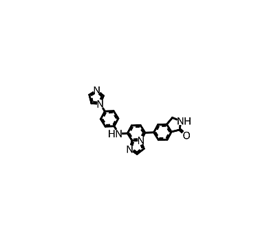 O=C1NCc2cc(-c3ccc(Nc4ccc(-n5ccnc5)cc4)c4nccn34)ccc21